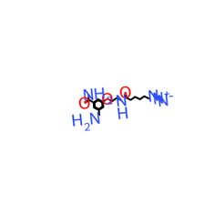 [N-]=[N+]=NCCCCCC(=O)NCCOc1cc(CN)cc(C(N)=O)c1